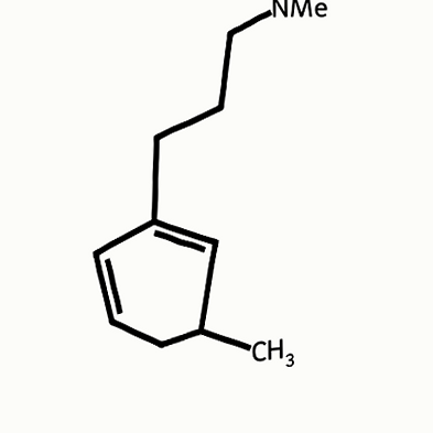 CNCCCC1=CC(C)CC=C1